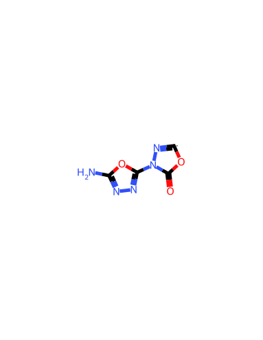 Nc1nnc(-n2n[c]oc2=O)o1